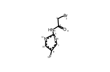 O=C(CBr)Nc1ncc(F)cn1